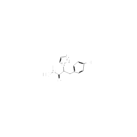 O=C(NO)C(Cc1ccc(O)cc1)n1ccnn1